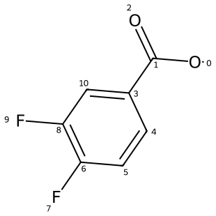 [O]C(=O)c1ccc(F)c(F)c1